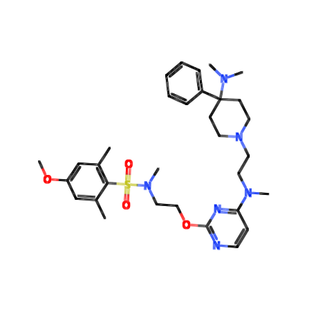 COc1cc(C)c(S(=O)(=O)N(C)CCOc2nccc(N(C)CCN3CCC(c4ccccc4)(N(C)C)CC3)n2)c(C)c1